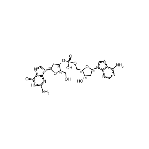 Nc1nc2c(ncn2[C@H]2C[C@H](OP(=O)(O)OC[C@H]3O[C@@H](n4cnc5c(N)ncnc54)C[C@@H]3O)[C@@H](CO)O2)c(=O)[nH]1